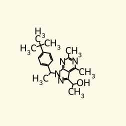 Cc1nc(C)c2c(C(C)O)nn(C(C)c3ccc(C(C)(C)C)cc3)c2n1